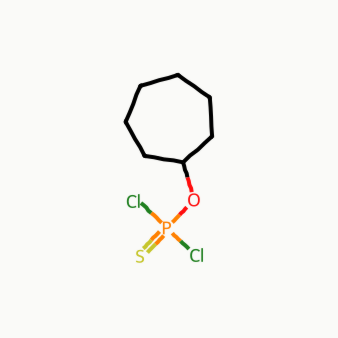 S=P(Cl)(Cl)OC1CCCCCC1